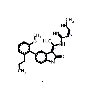 CCCc1cccc(OC)c1-c1ccc2c(c1)/C(=C(\C)NC(=N)/C=C\NC)C(=O)N2